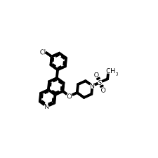 CCS(=O)(=O)N1CCC(Oc2cc(-c3cccc(Cl)c3)cc3ccncc23)CC1